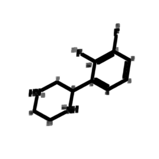 Fc1cccc(C2CNCCN2)c1F